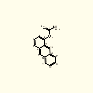 NC(=O)Oc1cccc2cc3ccccc3cc12